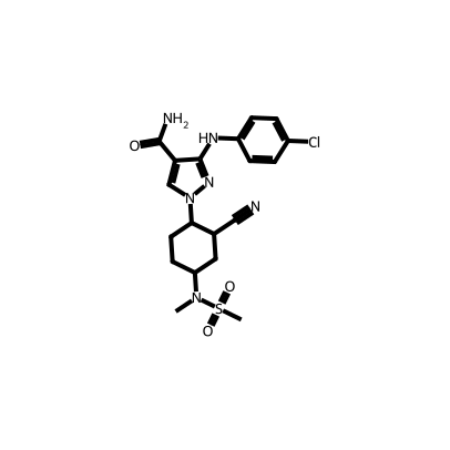 CN(C1CCC(n2cc(C(N)=O)c(Nc3ccc(Cl)cc3)n2)C(C#N)C1)S(C)(=O)=O